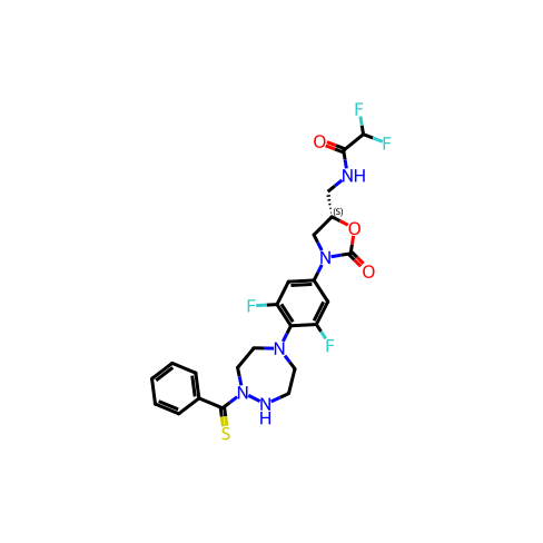 O=C(NC[C@H]1CN(c2cc(F)c(N3CCNN(C(=S)c4ccccc4)CC3)c(F)c2)C(=O)O1)C(F)F